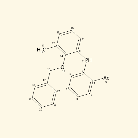 CC(=O)c1ccccc1Pc1cccc(C)c1OCc1ccccc1